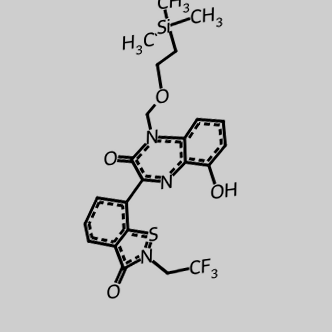 C[Si](C)(C)CCOCn1c(=O)c(-c2cccc3c(=O)n(CC(F)(F)F)sc23)nc2c(O)cccc21